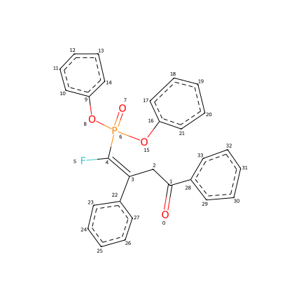 O=C(C/C(=C(/F)P(=O)(Oc1ccccc1)Oc1ccccc1)c1ccccc1)c1ccccc1